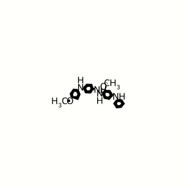 COc1ccc(Nc2ccc(NNc3ccc(Nc4ccccc4)cc3OC)cc2)cc1